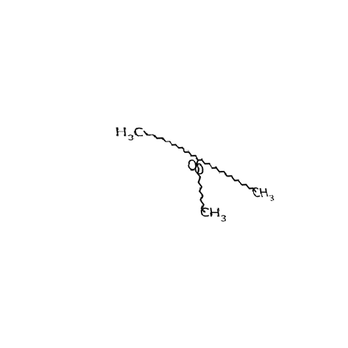 CCCCCCCCCCCCCCCCC(CCCCCCCCCCCCCCCC)C(=O)OCCCCCCCCCC